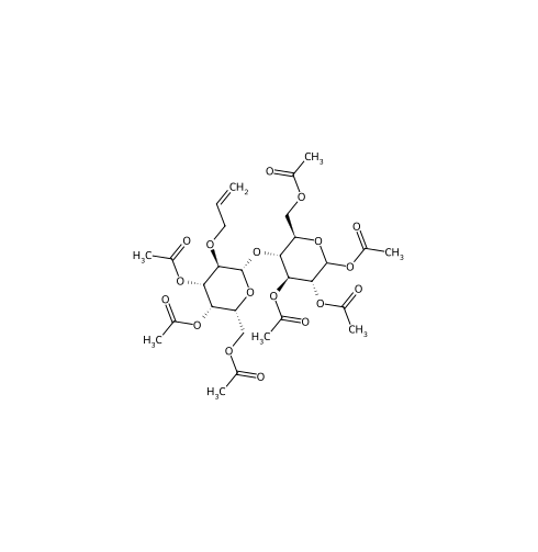 C=CCO[C@H]1[C@H](O[C@H]2[C@H](OC(C)=O)[C@@H](OC(C)=O)C(OC(C)=O)O[C@@H]2COC(C)=O)O[C@H](COC(C)=O)[C@H](OC(C)=O)[C@@H]1OC(C)=O